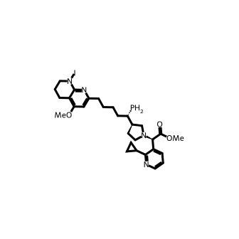 COC(=O)[C@@H](c1cccnc1C1CC1)N1CC[C@@H]([C@@H](P)CCCCc2cc(OC)c3c(n2)N(I)CCC3)C1